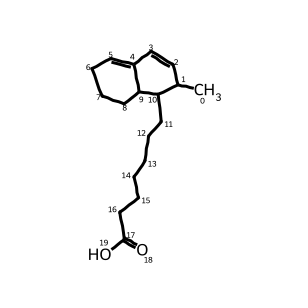 CC1C=CC2=CCCCC2C1CCCCCCC(=O)O